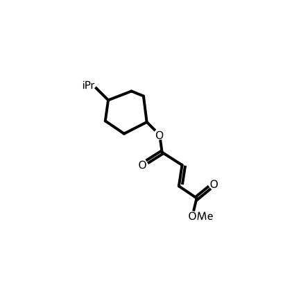 COC(=O)/C=C/C(=O)OC1CCC(C(C)C)CC1